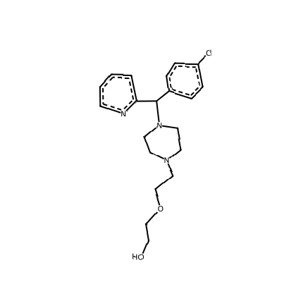 OCCOCCN1CCN(C(c2ccc(Cl)cc2)c2ccccn2)CC1